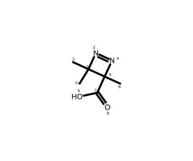 CC1(C)N=NC1(C)C(=O)O